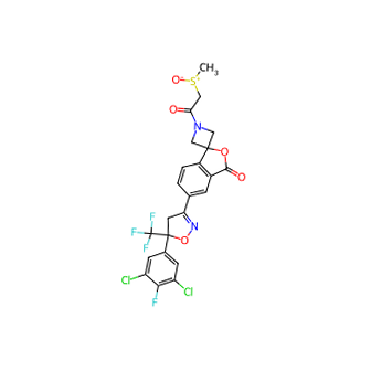 C[S+]([O-])CC(=O)N1CC2(C1)OC(=O)c1cc(C3=NOC(c4cc(Cl)c(F)c(Cl)c4)(C(F)(F)F)C3)ccc12